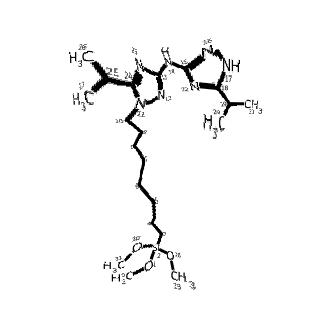 CO[Si](CCCCCCCCn1nc(Nc2n[nH]c(C(C)C)n2)nc1C(C)C)(OC)OC